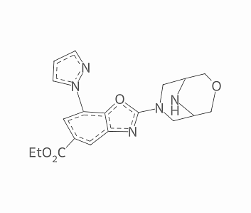 CCOC(=O)c1cc(-n2cccn2)c2oc(N3CC4COCC(C3)N4)nc2c1